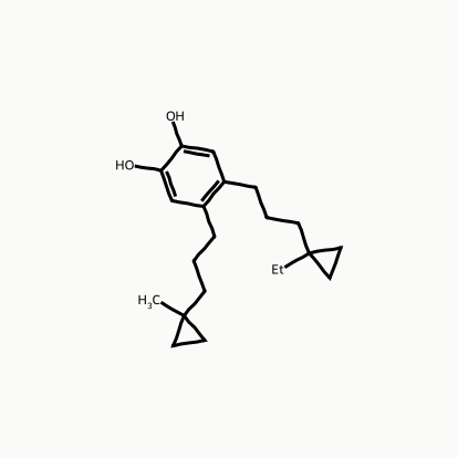 CCC1(CCCc2cc(O)c(O)cc2CCCC2(C)CC2)CC1